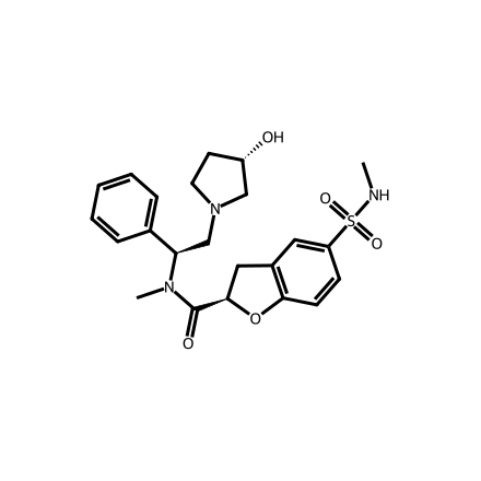 CNS(=O)(=O)c1ccc2c(c1)C[C@H](C(=O)N(C)[C@H](CN1CC[C@H](O)C1)c1ccccc1)O2